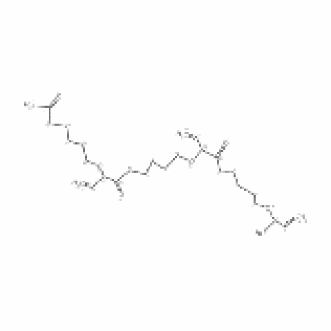 C=CC(O)OCCCCCC(=O)C(C=C)OCCCCCC(=O)C(C=C)OCCCCCC(C)=O